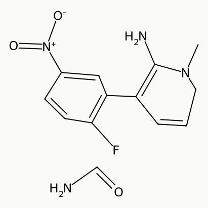 CN1CC=CC(c2cc([N+](=O)[O-])ccc2F)=C1N.NC=O